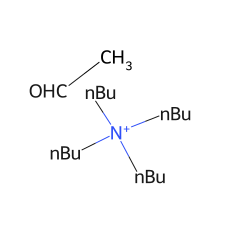 CC=O.CCCC[N+](CCCC)(CCCC)CCCC